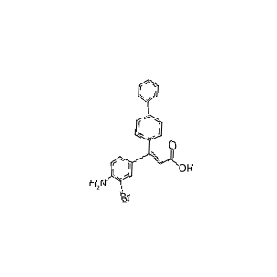 Nc1ccc(/C(=C/C(=O)O)c2ccc(-c3ccccc3)cc2)cc1Br